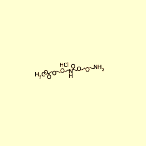 COC(=O)COCCOCCNC(=O)COCCOCCN.Cl